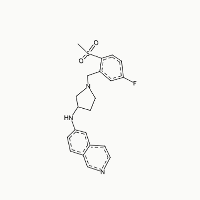 CS(=O)(=O)c1ccc(F)cc1CN1CCC(Nc2ccc3cnccc3c2)C1